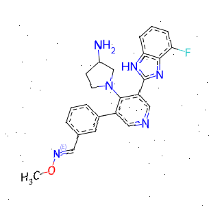 CO/N=C/c1cccc(-c2cncc(-c3nc4c(F)cccc4[nH]3)c2N2CCC(N)C2)c1